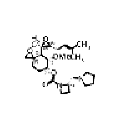 CO[C@@H]1[C@H](OC(=O)N2CC[C@H]2CN2CCCC2)CC[C@]2(CO2)[C@H]1[C@@]1(C)O[C@@H]1CC=C(C)C